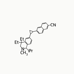 CCC1(CC)CN(C)C(C(C)C)c2ccc(C3CC3c3ccc4cc(C#N)ccc4c3)cc21